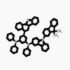 CC1(C)c2ccccc2-c2ccc(-n3c4ccccc4c4cc(N(c5ccccc5)c5cc(-c6cc7c8ccccc8sc7c7ccccc67)cc(N(c6ccccc6)c6ccccc6)c5)ccc43)cc21